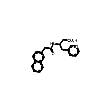 O=C(O)CC(Cc1cccnc1)NC(=O)Cc1ccc2ccccc2c1